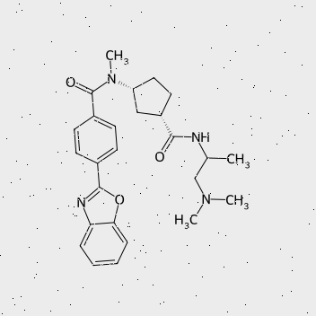 CC(CN(C)C)NC(=O)[C@H]1CC[C@@H](N(C)C(=O)c2ccc(-c3nc4ccccc4o3)cc2)C1